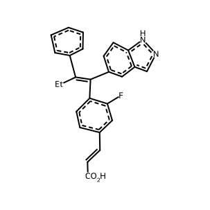 CCC(=C(c1ccc2[nH]ncc2c1)c1ccc(C=CC(=O)O)cc1F)c1ccccc1